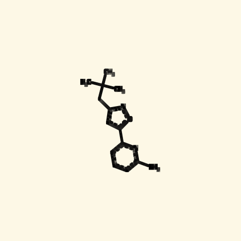 CC(C)(C)Cc1cc(-c2cccc(N)n2)on1